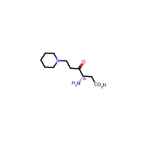 N[C@@H](CC(=O)O)C(=O)CCN1CCCCC1